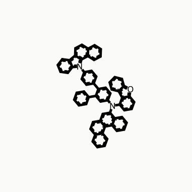 c1ccc(-c2cc(N(c3cc4ccc5ccccc5c4c4ccccc34)c3cccc4oc5ccccc5c34)ccc2-c2ccc(-n3c4ccccc4c4ccc5ccccc5c43)cc2)cc1